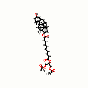 CCCC(=O)OCC(COC(=O)CCC)OC(=O)CCCCCCCCC(=O)O[C@H]1CC[C@H]2[C@@H]3CCC4=CC(=O)CC[C@]4(C)[C@H]3CC[C@]12C